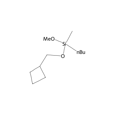 CCCC[Si](C)(OC)OCC1CCC1